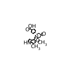 COc1cc(C)c2[nH]ccc2c1CN1CCC2(COC2)C[C@H]1c1ccc(C(=O)O)cc1